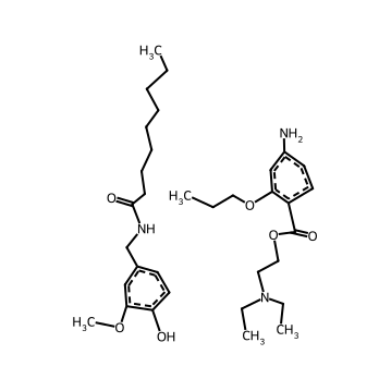 CCCCCCCCC(=O)NCc1ccc(O)c(OC)c1.CCCOc1cc(N)ccc1C(=O)OCCN(CC)CC